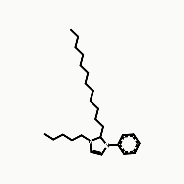 CCCCCCCCCCCCC1N(CCCCC)C=CN1c1ccccc1